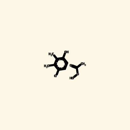 CC(=O)OO.Cc1c(O)ccc(Cl)c1C